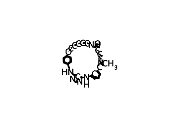 CN1CCCC(=O)NCCCCCOc2ccc(cc2)Nc2cc(ncn2)Nc2cccc(c2)C1